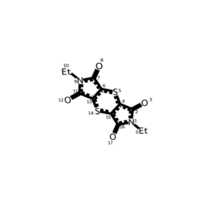 [CH2]Cn1c(=O)c2sc3c(=O)n(C[CH2])c(=O)c3sc2c1=O